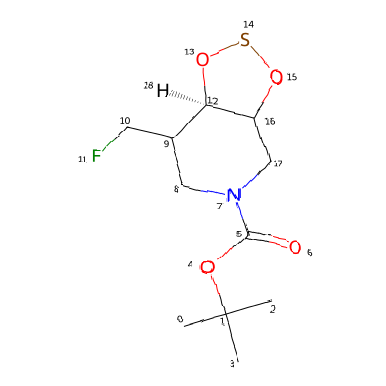 CC(C)(C)OC(=O)N1CC(CF)[C@H]2OSOC2C1